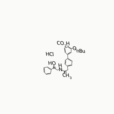 CCCCOc1cc(-c2ccc(C[C@@H](C)NC[C@H](O)c3ccccc3)cc2)ccc1C(=O)O.Cl